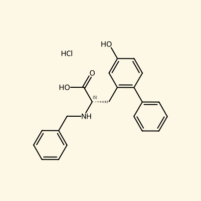 Cl.O=C(O)[C@H](Cc1cc(O)ccc1-c1ccccc1)NCc1ccccc1